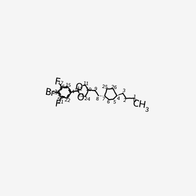 CCCC[C@H]1CC[C@H](CCC2COC(c3cc(F)c(Br)c(F)c3)OC2)CC1